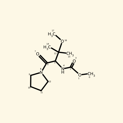 COC(=O)NC(C(=O)N1CCCC1)C(C)(C)OC